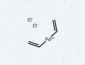 C=[CH][Pd+2][CH]=C.[Cl-].[Cl-]